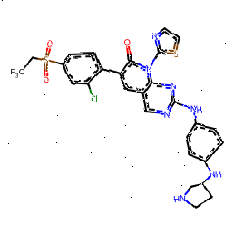 O=c1c(-c2ccc(S(=O)(=O)CC(F)(F)F)cc2Cl)cc2cnc(Nc3ccc(NC4CCNC4)cc3)nc2n1-c1nccs1